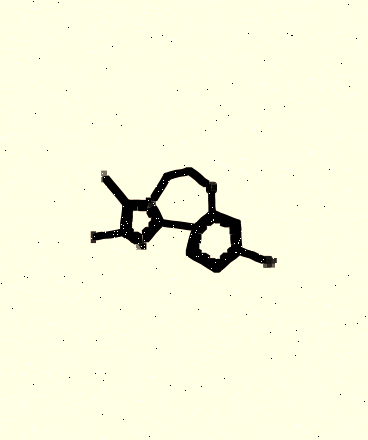 Brc1ccc2c(c1)OCCn1c-2nc(I)c1I